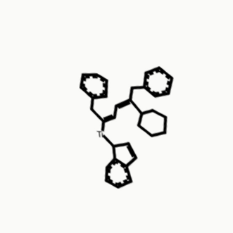 C1=C[CH]([Ti][C](=CC=C(Cc2ccccc2)C2CCCCC2)Cc2ccccc2)c2ccccc21